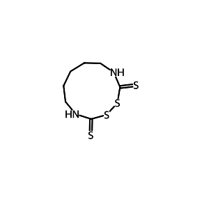 S=C1NCCCCCNC(=S)SS1